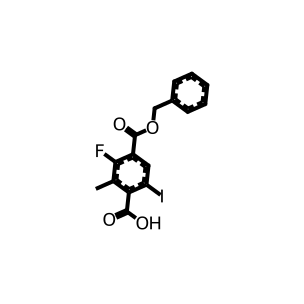 Cc1c(F)c(C(=O)OCc2ccccc2)cc(I)c1C(=O)O